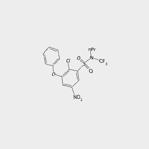 CCCN(C(F)(F)F)S(=O)(=O)c1cc([N+](=O)[O-])cc(Oc2ccccc2)c1Cl